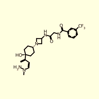 C=C(/C=C\N(C)N)[C@]1(O)CC[C@H](N2CC(NC(=O)CNC(=O)c3cccc(C(F)(F)F)c3)C2)CC1